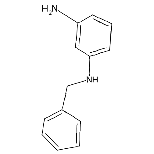 Nc1cccc(NCc2ccccc2)c1